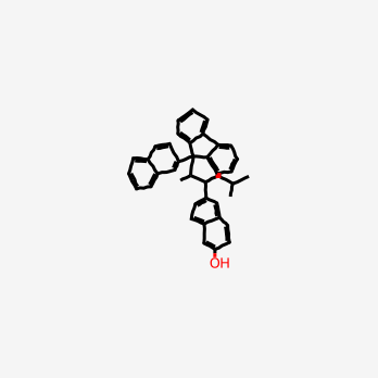 CC(C)CC(c1ccc2cc(O)ccc2c1)C(C)C1(c2ccc3ccccc3c2)c2ccccc2-c2ccccc21